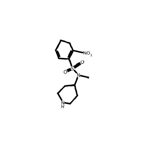 CN(C1CCNCC1)S(=O)(=O)C1=C([N+](=O)[O-])CCC=C1